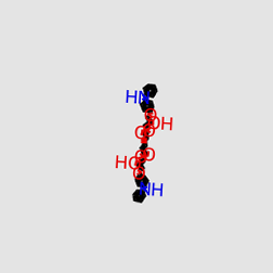 O=C(CCCCC(=O)OCC(O)COc1ccc(Nc2ccccc2)cc1)OCC(O)COc1ccc(Nc2ccccc2)cc1